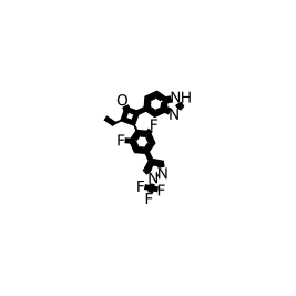 CC[C@H]1C(=O)C(c2ccc3[nH]cnc3c2)[C@H]1c1c(F)cc(-c2cnn(C(F)(F)F)c2)cc1F